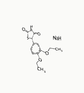 CCOc1ccc(C2SC(=O)NC2=O)cc1OCC.[NaH]